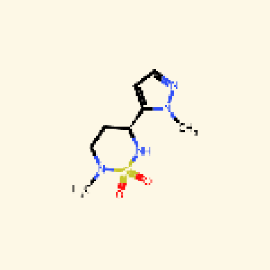 CN1CC[C@@H](c2ccnn2C)NS1(=O)=O